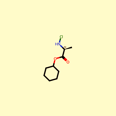 C[C@H](NCl)C(=O)OC1CCCCC1